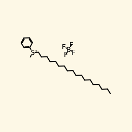 CCCCCCCCCCCCCCCCCC[S+](C)c1ccccc1.F[B-](F)(F)F